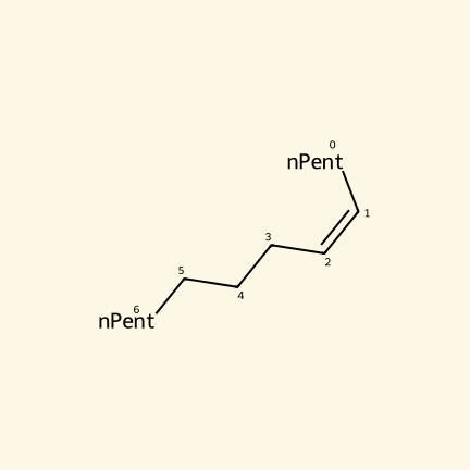 CCCCC/C=C\CCCCCCCC